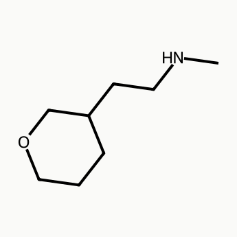 CNCCC1CCCOC1